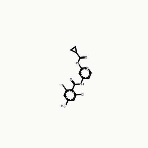 Cc1cc(Cl)c(C(=O)Nc2ccnc(NC(=O)C3CC3)c2)c(Cl)c1